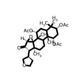 CC(=O)O[C@H]1C[C@@H](OC(C)=O)C(C)(C)C2C[C@@H](OC(C)=O)[C@]3(C)C(CC[C@@]4(C)[C@H]([C@H]5CCOC5)C(=O)[C@H]5O[C@]543)[C@]21C